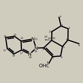 CC1CC(C)C2CC(C=O)=C(n3nc4ccccc4n3)[C@@]2(C)C1